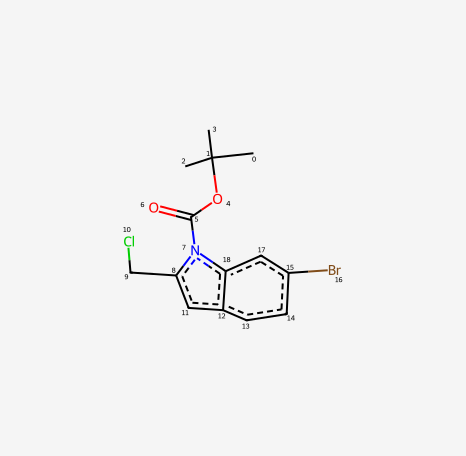 CC(C)(C)OC(=O)n1c(CCl)cc2ccc(Br)cc21